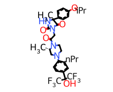 CCCc1cc(C(O)(C(F)(F)F)C(F)(F)F)ccc1N1CCN(C(=O)CN2C(=O)NC(C)(c3ccc(OC(C)C)cc3)C2=O)[C@@H](C)C1